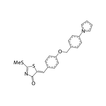 CSC1=NC(=O)C(=Cc2ccc(OCc3ccc(-n4cccc4)cc3)cc2)S1